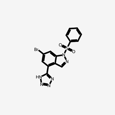 O=S(=O)(c1ccccc1)n1ncc2c(-c3nnn[nH]3)cc(Br)cc21